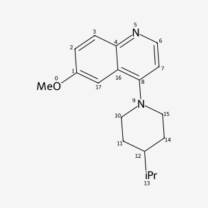 COc1ccc2nccc(N3CCC(C(C)C)CC3)c2c1